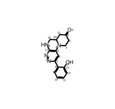 O=C1CCN2c3cc(-c4ccccc4O)nnc3NCC2C1